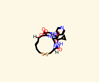 O=C1C[C@@H]2/C=C/CCSSC[C@@H](NC(=O)[C@@H](Cc3ccncc3)N1)C(=O)NC(C1CC1)C(=O)NCC(=O)O2